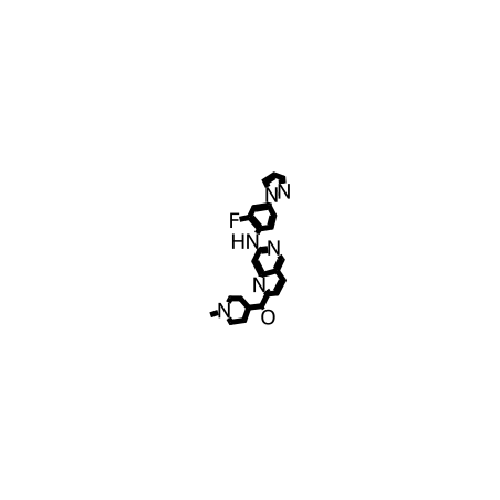 CO[C@H](c1ccc2cnc(Nc3ccc(-n4cccn4)cc3F)cc2n1)C1CCN(C)CC1